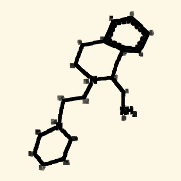 NCC1c2ccccc2CCN1CCN1CCCCC1